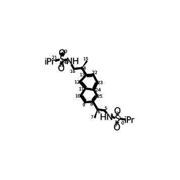 CC(C)S(=O)(=O)NC[C@@H](C)c1ccc2cc([C@H](C)CNS(=O)(=O)C(C)C)ccc2c1